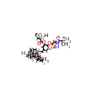 C=C(C)C(=O)NCC(=O)OC1CCC(CC[Si](C)(O[Si](C)(C)C)O[Si](C)(C)C)CC1OC(=O)CCC(=O)O